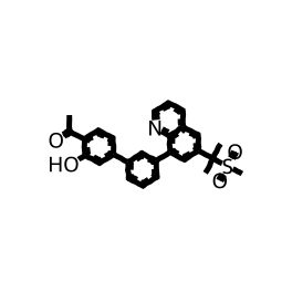 CC(=O)c1ccc(-c2cccc(-c3cc(C(C)(C)S(C)(=O)=O)cc4cccnc34)c2)cc1O